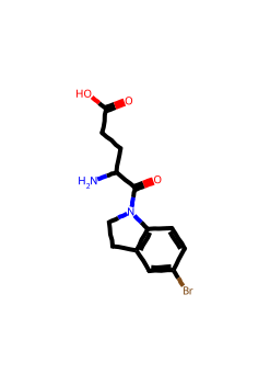 NC(CCC(=O)O)C(=O)N1CCc2cc(Br)ccc21